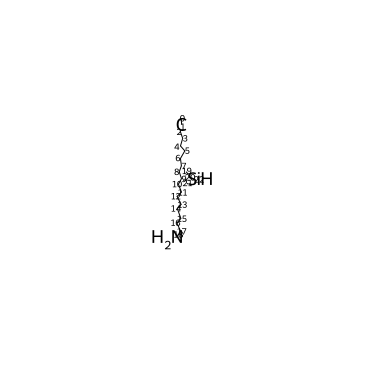 CCCCCCCCCCCCCCCCCCN.C[SiH](C)C